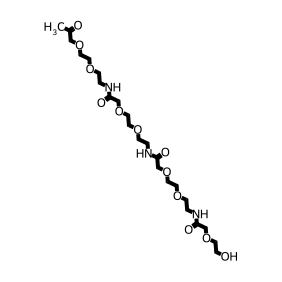 CC(=O)COCCOCCNC(=O)COCCOCCNC(=O)COCCOCCNC(=O)COCCO